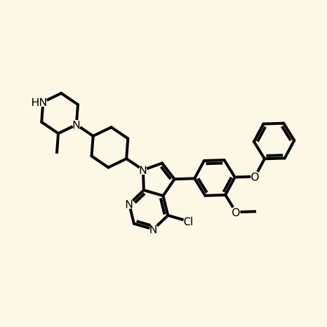 COc1cc(-c2cn(C3CCC(N4CCNCC4C)CC3)c3ncnc(Cl)c23)ccc1Oc1ccccc1